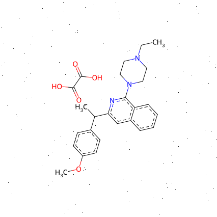 CCN1CCN(c2nc(C(C)c3ccc(OC)cc3)cc3ccccc23)CC1.O=C(O)C(=O)O